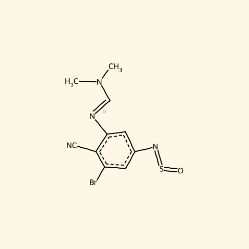 CN(C)/C=N/c1cc(N=S=O)cc(Br)c1C#N